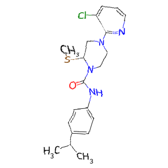 CSC1CN(c2ncccc2Cl)CCN1C(=O)Nc1ccc(C(C)C)cc1